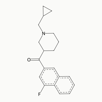 O=C(c1cc(F)c2ccccc2c1)C1CCCN(CC2CC2)C1